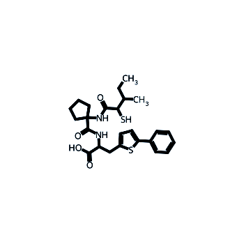 CCC(C)C(S)C(=O)NC1(C(=O)NC(Cc2ccc(-c3ccccc3)s2)C(=O)O)CCCC1